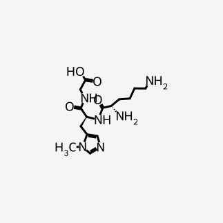 Cn1cncc1C[C@H](NC(=O)[C@@H](N)CCCCN)C(=O)NCC(=O)O